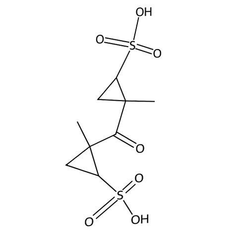 CC1(C(=O)C2(C)CC2S(=O)(=O)O)CC1S(=O)(=O)O